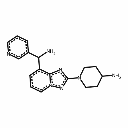 NC1CCN(c2nc3c(C(N)c4cccnc4)cccn3n2)CC1